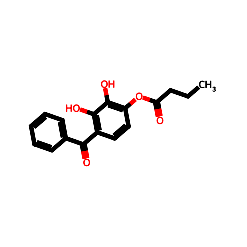 CCCC(=O)Oc1ccc(C(=O)c2ccccc2)c(O)c1O